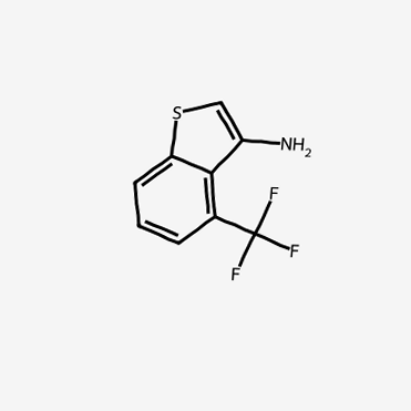 Nc1csc2cccc(C(F)(F)F)c12